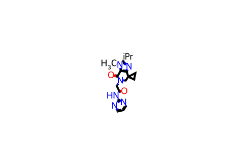 CC(C)c1nc2c(n1C)C(=O)N(CC(=O)Nc1ncccn1)CC21CC1